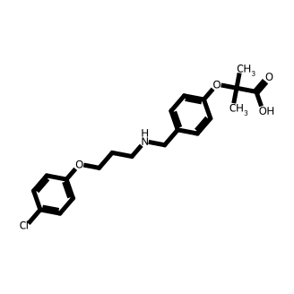 CC(C)(Oc1ccc(CNCCCOc2ccc(Cl)cc2)cc1)C(=O)O